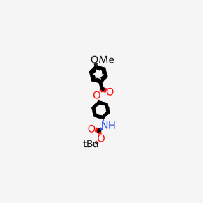 COc1ccc(C(=O)O[C@H]2CC[C@@H](NC(=O)OC(C)(C)C)CC2)cc1